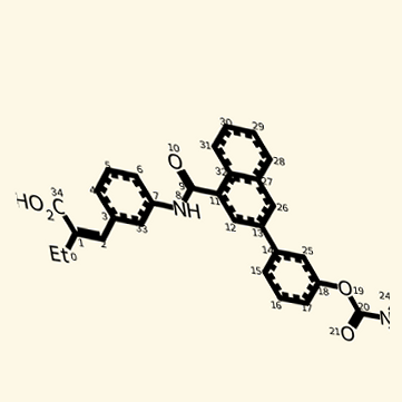 CCC(=Cc1cccc(NC(=O)c2cc(-c3cccc(OC(=O)N(C)C)c3)cc3ccccc23)c1)C(=O)O